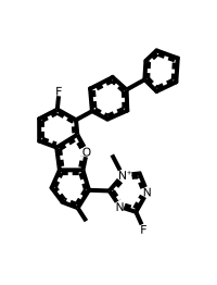 Cc1ccc2c(oc3c(-c4ccc(-c5ccccc5)cc4)c(F)ccc32)c1-c1nc(F)nc[n+]1C